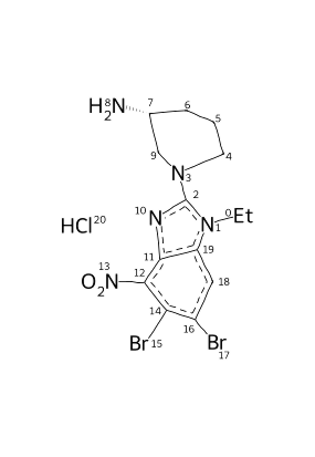 CCn1c(N2CCC[C@@H](N)C2)nc2c([N+](=O)[O-])c(Br)c(Br)cc21.Cl